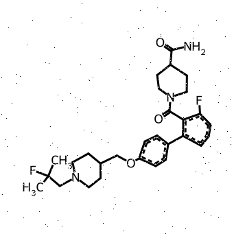 CC(C)(F)CN1CCC(COc2ccc(-c3cccc(F)c3C(=O)N3CCC(C(N)=O)CC3)cc2)CC1